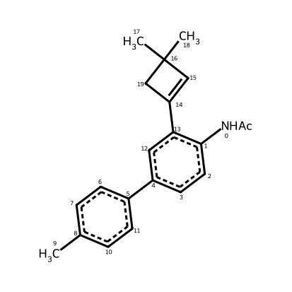 CC(=O)Nc1ccc(-c2ccc(C)cc2)cc1C1=CC(C)(C)C1